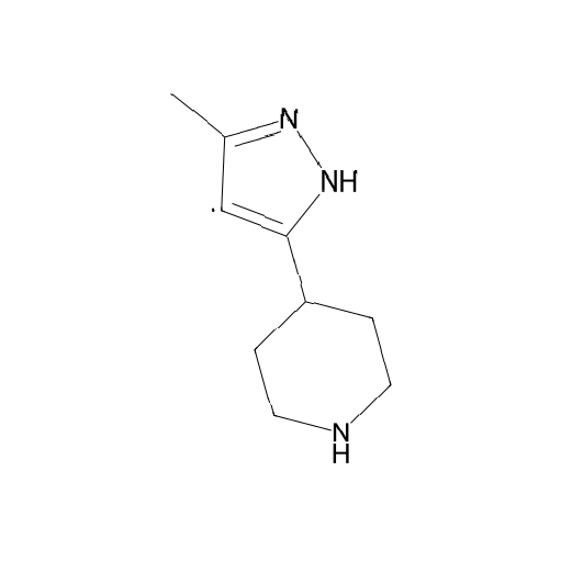 Cc1[c]c(C2CCNCC2)[nH]n1